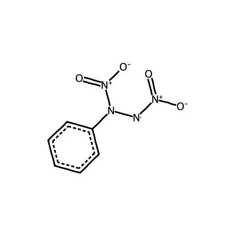 O=[N+]([O-])[N]N(c1ccccc1)[N+](=O)[O-]